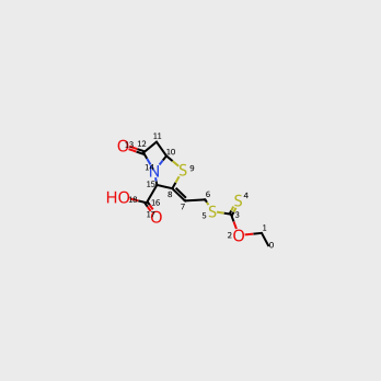 CCOC(=S)SC/C=C1\SC2CC(=O)N2C1C(=O)O